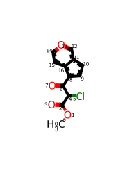 COC(=O)C(Cl)C(=O)c1ccc2coccc1-2